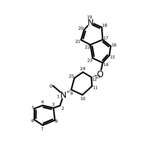 CN(Cc1ccccc1)[C@H]1CC[C@@H](Oc2ccc3cnccc3c2)CC1